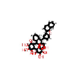 Oc1c(O)c(O)c(-c2c(O)c(O)c(O)c(O)c2-c2c3ccccc3c(-c3ccc4oc5c6ccccc6ccc5c4c3)c3ccccc23)c(O)c1O